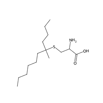 CCCCCCC(C)(CCCC)SCC(N)C(=O)O